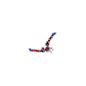 C[Si](C)(CSc1ncc(COCCOCCOCCN=[N+]=[N-])cn1)O[Si](C)(C)CSc1ncc(COCCOCCOCCN=[N+]=[N-])cn1